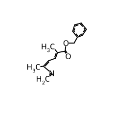 C=N/C(C)=C\C=C(/C)C(=O)OCc1ccccc1